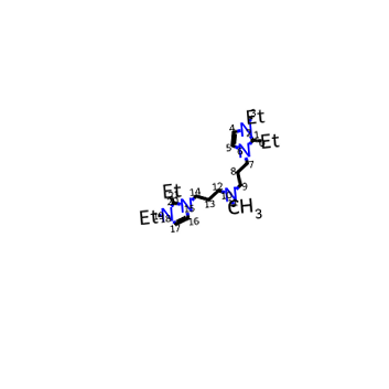 CCC1N(CC)C=CN1CCCN(C)CCCN1C=CN(CC)C1CC